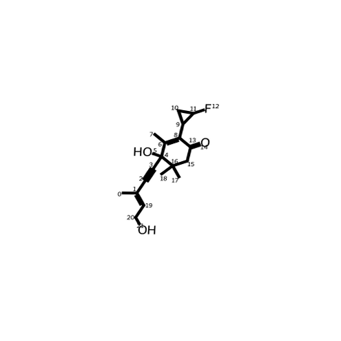 CC(C#CC1(O)C(C)=C(C2CC2F)C(=O)CC1(C)C)=CCO